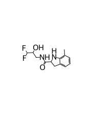 Cc1cccc2c1NC(C(=O)NCC(O)C(F)F)C2